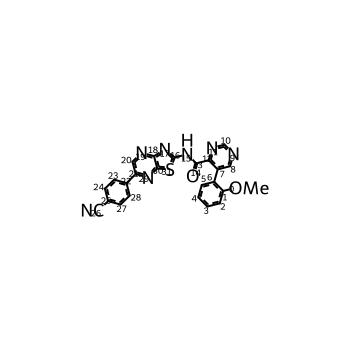 COc1ccccc1-c1cncnc1C(=O)Nc1nc2ncc(-c3ccc(C#N)cc3)nc2s1